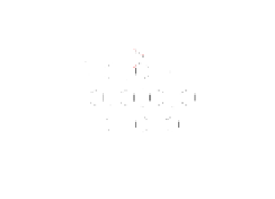 Cc1cc(C(C)(C)C)ccc1N1c2cc(N(c3ccccc3)c3ccccc3)ccc2B2c3cc4c(cc3N(c3ccc(C(C)(C)C)cc3-c3ccccc3)c3cc(N(c5ccccc5)c5ccccc5)cc1c32)C(C)(C)CC4(C)C